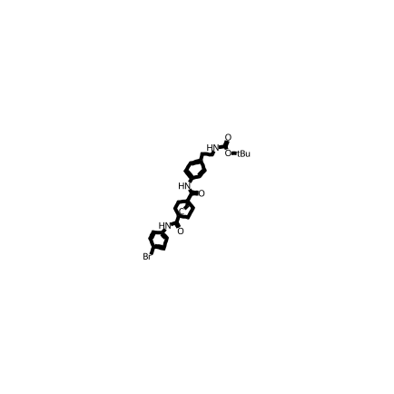 CC(C)(C)OC(=O)NCCc1ccc(NC(=O)C23CCC(C(=O)Nc4ccc(Br)cc4)(CC2)CC3)cc1